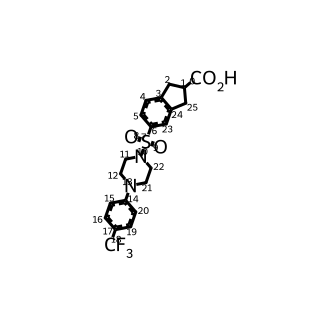 O=C(O)C1Cc2ccc(S(=O)(=O)N3CCN(c4ccc(C(F)(F)F)cc4)CC3)cc2C1